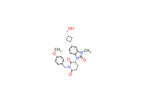 COc1ccc(CN2C(=O)CCC(n3c(=O)n(C)c4cc([C@H]5C[C@@H](CO)C5)ccc43)C2=O)cc1